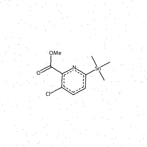 COC(=O)c1n[c]([Sn]([CH3])([CH3])[CH3])ccc1Cl